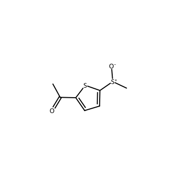 CC(=O)c1ccc([S+](C)[O-])s1